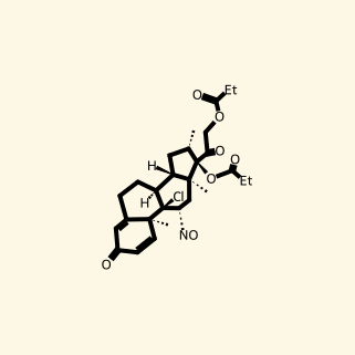 CCC(=O)OCC(=O)[C@@]1(OC(=O)CC)[C@@H](C)C[C@H]2[C@@H]3CCC4=CC(=O)C=C[C@]4(C)[C@@]3(Cl)[C@@H](N=O)C[C@@]21C